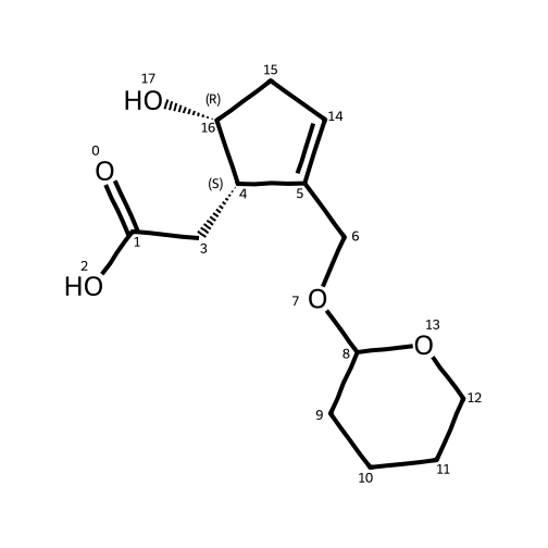 O=C(O)C[C@H]1C(COC2CCCCO2)=CC[C@H]1O